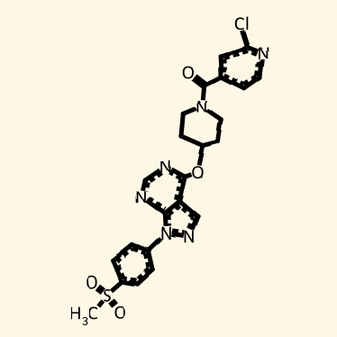 CS(=O)(=O)c1ccc(-n2ncc3c(OC4CCN(C(=O)c5ccnc(Cl)c5)CC4)ncnc32)cc1